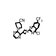 N#CC1CCN(c2nccnc2C2CN(c3nc(Cl)c4ccc(C(F)(F)F)cc4n3)C2)CC1